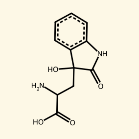 NC(CC1(O)C(=O)Nc2ccccc21)C(=O)O